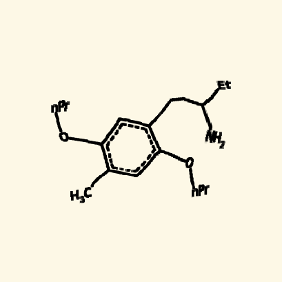 CCCOc1cc(CC(N)CC)c(OCCC)cc1C